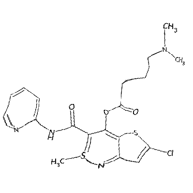 CN(C)CCCC(=O)OC1=c2sc(Cl)cc2=NS(C)=C1C(=O)Nc1ccccn1